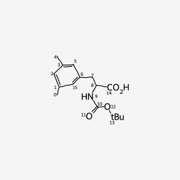 Cc1cc(C)cc(CC(NC(=O)OC(C)(C)C)C(=O)O)c1